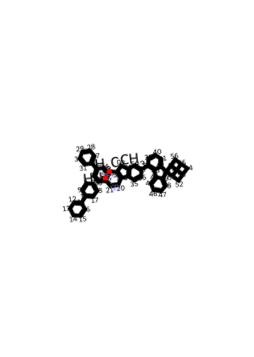 CC1(C)C(/C=C/Nc2ccc(C3=CCCC=C3)cc2)=C(/C=C\c2ccc(-c3ccccc3)cc2)c2ccc(-c3cccc4c3-c3ccccc3C43C4CC5CC6CC3C564)cc21